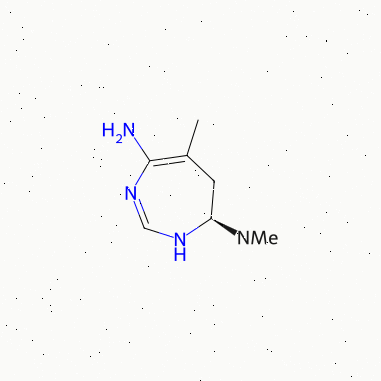 CN[C@@H]1CC(C)=C(N)N=CN1